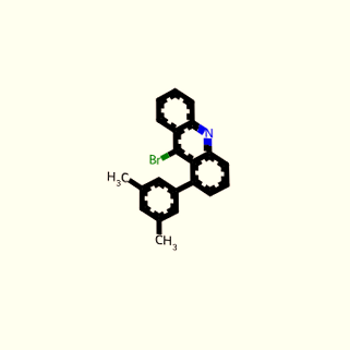 Cc1cc(C)cc(-c2cccc3nc4ccccc4c(Br)c23)c1